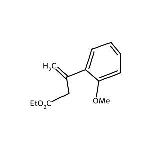 C=C(CC(=O)OCC)c1ccccc1OC